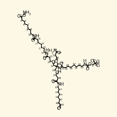 NOC(=O)CCCCCCCNC(=O)CCCCCCNC(=O)CCOCC(COCCC(N)=O)(COCCC(=O)NCCCCCCCC=O)NC(=O)CCCCCCCNC(=O)OCC(Cl)(Cl)Cl